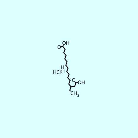 CCC(CCCCCCCCCCCCC(=O)O)CC(=O)O.Cl.Cl